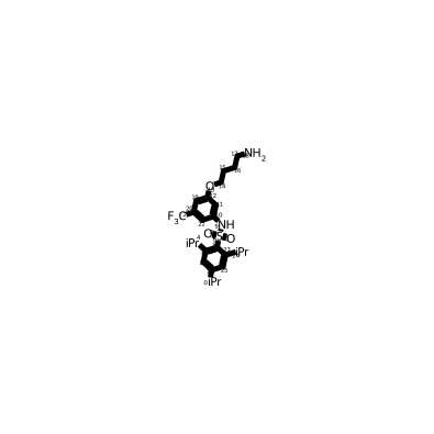 CC(C)c1cc(C(C)C)c(S(=O)(=O)Nc2cc(OCCCCN)cc(C(F)(F)F)c2)c(C(C)C)c1